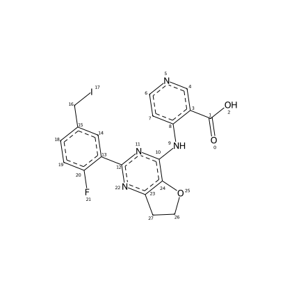 O=C(O)c1cnccc1Nc1nc(-c2cc(CI)ccc2F)nc2c1OCC2